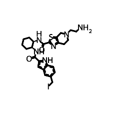 NCCN1CCc2nc(C(=O)N[C@@H]3CCCC[C@@H]3NC(=O)c3cc4cc(CI)ccc4[nH]3)sc2C1